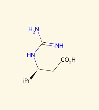 CC(C)[C@H](CC(=O)O)NC(=N)N